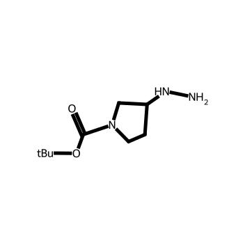 CC(C)(C)OC(=O)N1CCC(NN)C1